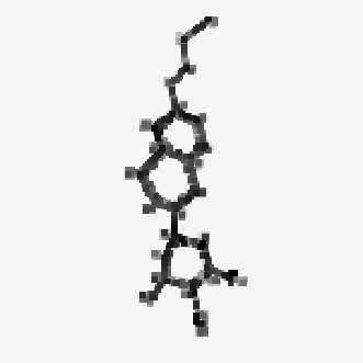 CCCCc1ccc2cc(-c3cc(F)c(Cl)c(F)c3)ccc2c1